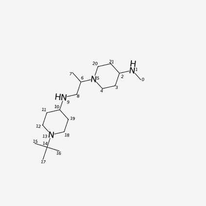 CNC1CCN(C(C)CNC2CCN(C(C)(C)C)CC2)CC1